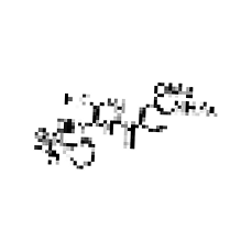 CCN([C@@H]1CCCC[C@H]1Nc1nc(Nc2ccc(NC(C)=O)c(OC)c2)ncc1C(F)(F)F)S(C)(=O)=O